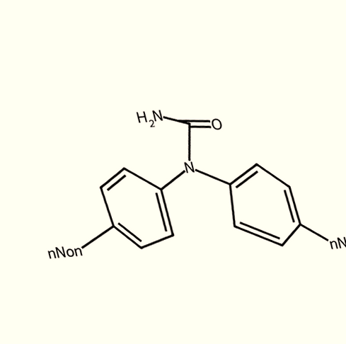 CCCCCCCCCc1ccc(N(C(N)=O)c2ccc(CCCCCCCCC)cc2)cc1